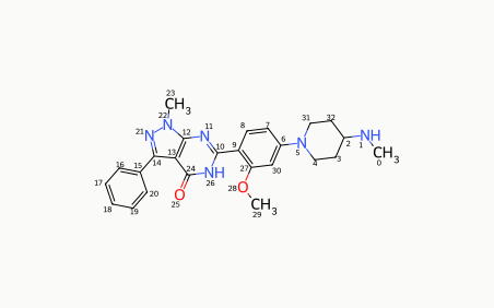 CNC1CCN(c2ccc(-c3nc4c(c(-c5ccccc5)nn4C)c(=O)[nH]3)c(OC)c2)CC1